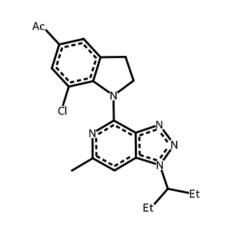 CCC(CC)n1nnc2c(N3CCc4cc(C(C)=O)cc(Cl)c43)nc(C)cc21